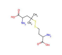 CC(C)(CC(N)C(=O)O)SSCCC(N)C(=O)O